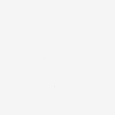 CCOC(=O)CC1=CS(=O)(=O)C2C=C(NS(C)(=O)=O)C=CC2N1